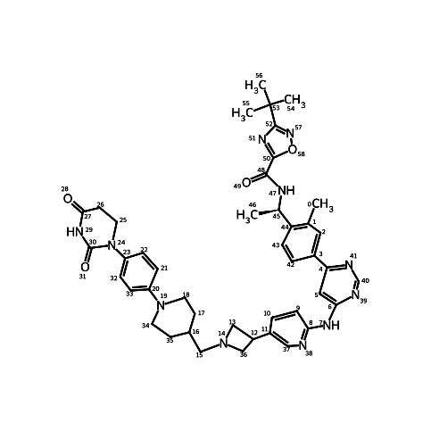 Cc1cc(-c2cc(Nc3ccc(C4CN(CC5CCN(c6ccc(N7CCC(=O)NC7=O)cc6)CC5)C4)cn3)ncn2)ccc1[C@@H](C)NC(=O)c1nc(C(C)(C)C)no1